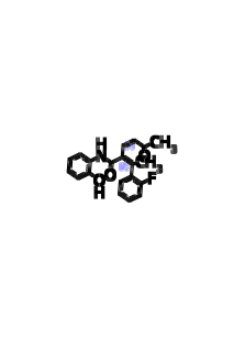 CC(=O)/C=C\C(C(=O)Nc1ccccc1O)=C(/C)c1ccccc1F